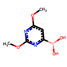 COc1cc(B(O)O)nc(OC)n1